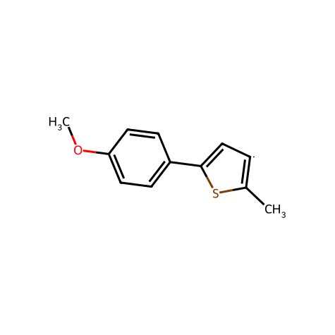 COc1ccc(-c2c[c]c(C)s2)cc1